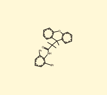 CC(C)c1cccc(C(C)C)c1NC(=O)C(C)(C)C1(C)c2ccccc2Oc2ccccc21